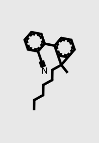 CCCCCCC1(C)c2cccc(-c3ccccc3C#N)c21